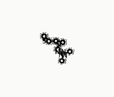 c1ccc(-c2nc(-c3ccccc3)nc(-c3cc(-n4c5ccccc5c5ccc(-c6ccc7sc8ccccc8c7c6)cc54)ccn3)n2)cc1